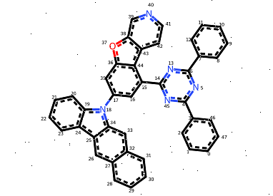 c1ccc(-c2nc(-c3ccccc3)nc(-c3cc(-n4c5ccccc5c5cc6ccccc6cc54)cc4oc5cnccc5c34)n2)cc1